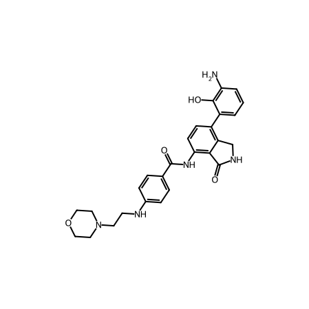 Nc1cccc(-c2ccc(NC(=O)c3ccc(NCCN4CCOCC4)cc3)c3c2CNC3=O)c1O